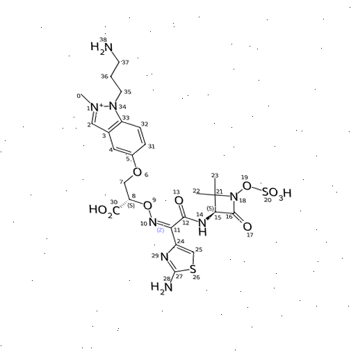 C[n+]1cc2cc(OC[C@H](O/N=C(\C(=O)N[C@@H]3C(=O)N(OS(=O)(=O)O)C3(C)C)c3csc(N)n3)C(=O)O)ccc2n1CCCN